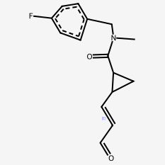 CN(Cc1ccc(F)cc1)C(=O)C1CC1/C=C/C=O